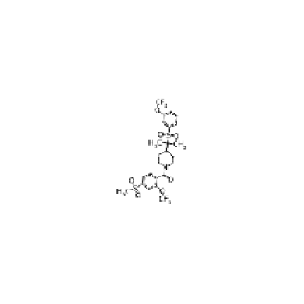 CC(C)(C1CCN(C(=O)c2ccc(S(C)(=O)=O)cc2OC(F)(F)F)CC1)S(=O)(=O)c1cccc(OC(F)(F)F)c1